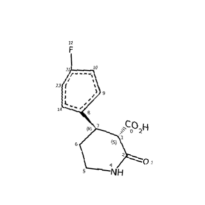 O=C(O)[C@@H]1C(=O)NCC[C@H]1c1ccc(F)cc1